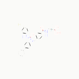 O=C(NCC(F)(F)C(=O)O)c1ccc(CN(C(=O)Nc2ccc(S)cc2)c2ccc(C3CCCCC3)cc2)cc1